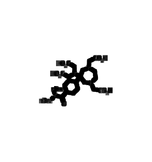 CCCCCCCCCCN(CCCCCCCCCC)C(=O)C1CCC(C2(N(CC(=O)O)CC(=O)O)CN(CC(=O)O)CCN(CC(=O)O)C2)CC1